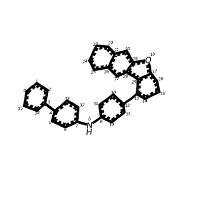 c1ccc(-c2ccc(Nc3ccc(-c4cccc5oc6cc7ccccc7cc6c45)cc3)cc2)cc1